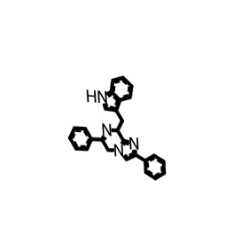 c1ccc(C2=NC(Cc3c[nH]c4ccccc34)c3nc(-c4ccccc4)cn3C2)cc1